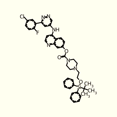 CC(C)(C)[Si](OCCN1CCN(C(=O)Oc2ccc3c(Nc4cnnc(-c5cc(Cl)ccc5F)c4)ccnc3c2)CC1)(c1ccccc1)c1ccccc1